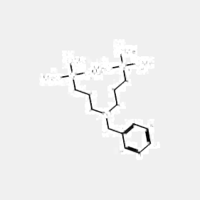 CO[Si](CCCN(CCC[Si](OC)(OC)OC)Cc1ccccc1)(OC)OC